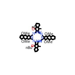 CCCCOc1c2ccccc2c(C)c2c3nc4nc(nc5[nH]c(nc6nc(nc([nH]3)c12)-c1c-6c(OC)c2cc3ccccc3cc2c1OC)c1c(OCCCC)c2ccccc2c(C)c51)-c1c-4c(OC)c2cc3ccccc3cc2c1OC